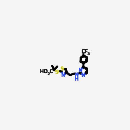 CC(C)(Sc1nc(CCNc2nccc(-c3ccc(C(F)(F)F)cc3)n2)cs1)C(=O)O